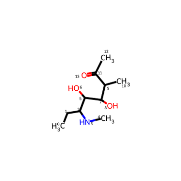 CCC(NC)C(O)C(O)C(C)C(C)=O